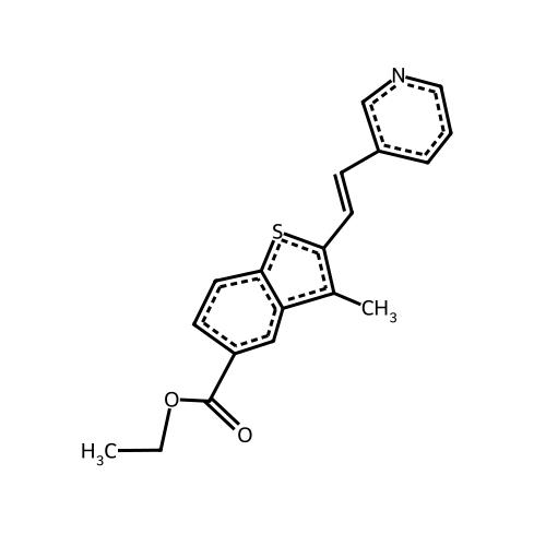 CCOC(=O)c1ccc2sc(C=Cc3cccnc3)c(C)c2c1